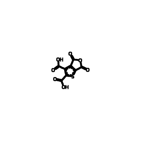 O=C(O)c1sc2c(c1C(=O)O)C(=O)OC2=O